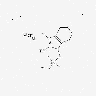 CC[Si](C)(C)CC1[C]([Ti+3])=C(C)C2=C1CCCC2.[Cl-].[Cl-].[Cl-]